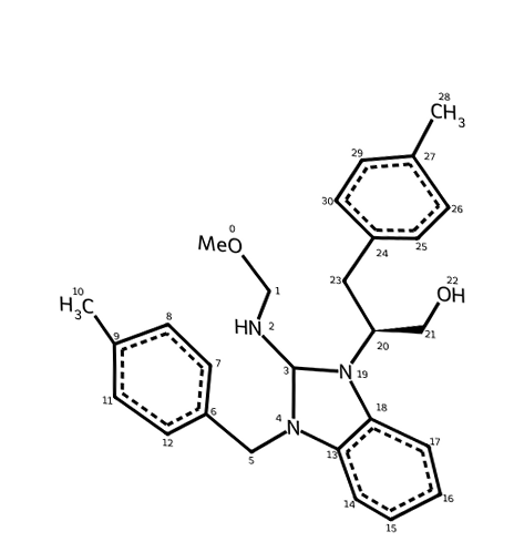 COCNC1N(Cc2ccc(C)cc2)c2ccccc2N1[C@H](CO)Cc1ccc(C)cc1